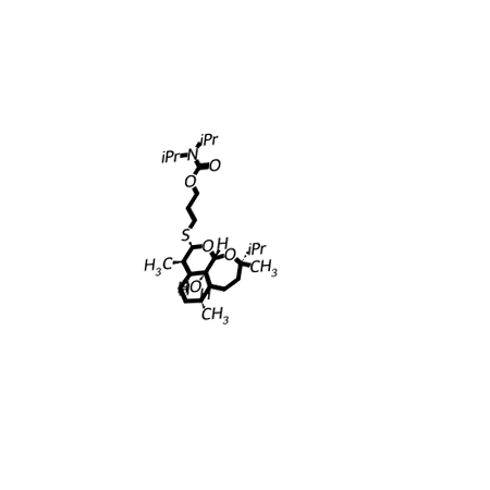 CC(C)N(C(=O)OCCCS[C@@H]1O[C@@H]2O[C@](C)(C(C)C)CC[C@H]3[C@H](C)CC[C@@H]([C@H]1C)[C@@]23O)C(C)C